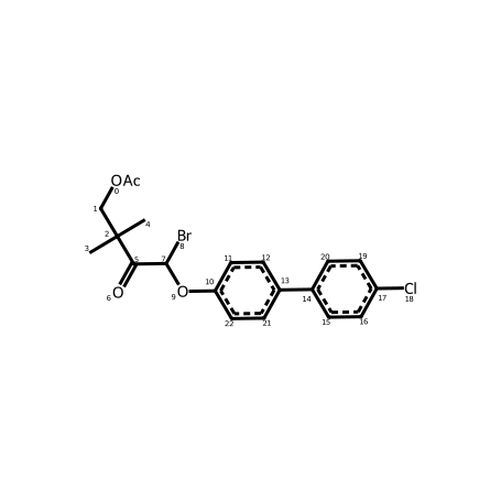 CC(=O)OCC(C)(C)C(=O)C(Br)Oc1ccc(-c2ccc(Cl)cc2)cc1